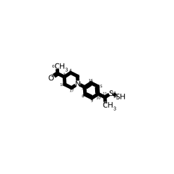 CC(=O)C1CCN(c2ccc(C(C)SS)cc2)CC1